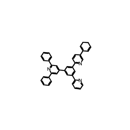 C1=CC(c2ccc(-c3cc(-c4cc(-c5ccccc5)nc(-c5ccccc5)c4)cc(-c4ccccn4)c3)nc2)=CCC1